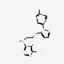 Cc1ccc(-n2nccc2OCCN(C)c2ncnc(C)c2Cl)cc1